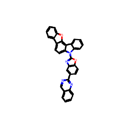 c1ccc2nc(-c3ccc4oc(-n5c6ccccc6c6c7oc8ccccc8c7ccc65)nc4c3)ncc2c1